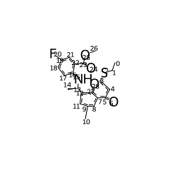 CCSc1cc(=O)c2cc(C)cc([C@@H](C)Nc3ccc(F)cc3C(=O)OC)c2o1